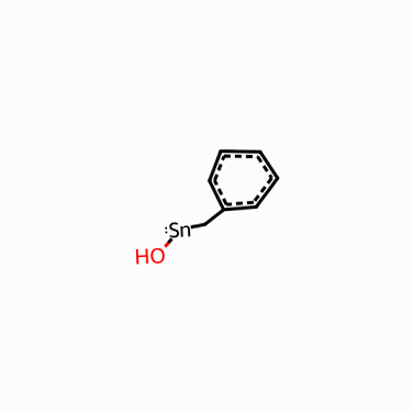 [OH][Sn][CH2]c1ccccc1